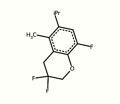 Cc1c(C(C)C)cc(F)c2c1CC(F)(F)CO2